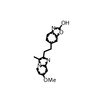 COc1ccn2c(C)c(CCc3ccc4nc(O)oc4c3)nc2c1